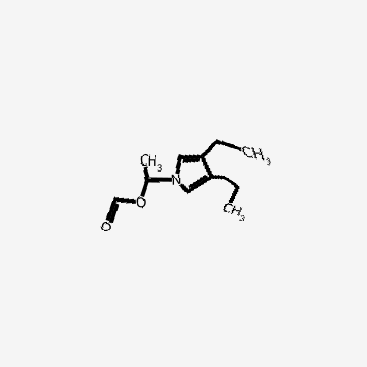 CCc1cn(C(C)OC=O)cc1CC